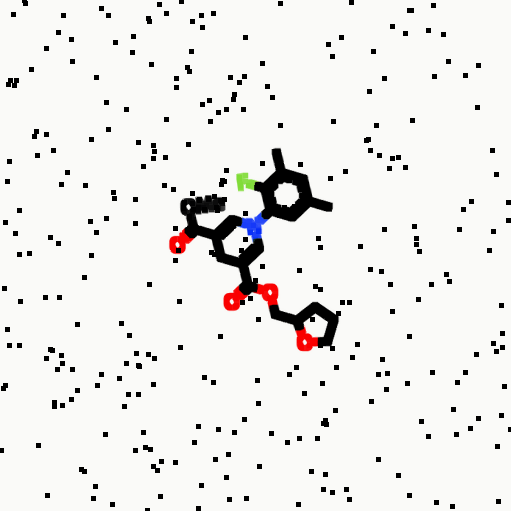 COC(=O)C1=CN(c2cc(C)cc(C)c2F)C=C(C(=O)OCC2CCCO2)C1